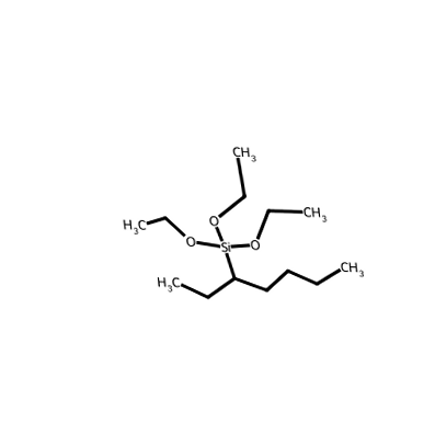 CCCCC(CC)[Si](OCC)(OCC)OCC